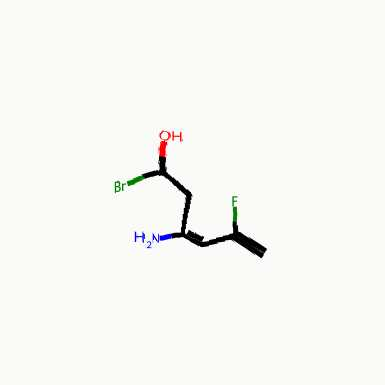 C=C(F)/C=C(/N)CC(O)Br